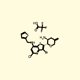 C=C1CO[C@H](c2sc3c(NCc4cccs4)cc(Cl)nc3c2Br)[C@@H](N)C1.O=C(O)C(F)(F)F